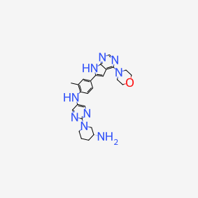 Cc1cc(-c2cc3c(N4CCOCC4)ncnc3[nH]2)ccc1Nc1cnc(N2CCC[C@@H](N)C2)nc1